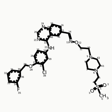 CS(=O)(=O)CCN1CCN(CCON=Cc2ccc3ncnc(Nc4ccc(OCc5cccc(F)c5)c(Cl)c4)c3c2)CC1